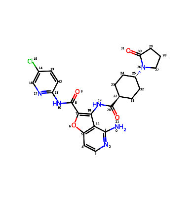 Nc1nccc2oc(C(=O)Nc3ccc(Cl)cn3)c(NC(=O)[C@H]3CC[C@H](N4CCCC4=O)CC3)c12